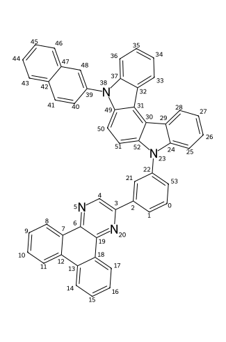 c1cc(-c2cnc3c4ccccc4c4ccccc4c3n2)cc(-n2c3ccccc3c3c4c5ccccc5n(-c5ccc6ccccc6c5)c4ccc32)c1